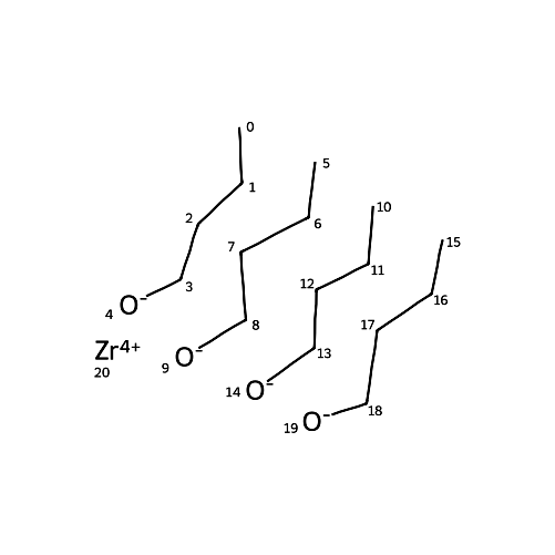 CCCC[O-].CCCC[O-].CCCC[O-].CCCC[O-].[Zr+4]